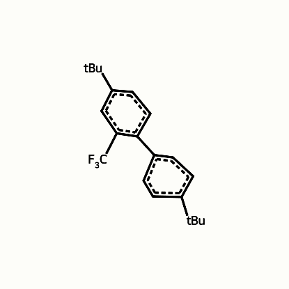 CC(C)(C)c1ccc(-c2ccc(C(C)(C)C)cc2C(F)(F)F)cc1